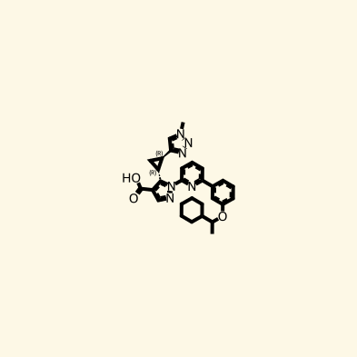 CC(Oc1cccc(-c2cccc(-n3ncc(C(=O)O)c3[C@@H]3C[C@H]3c3cn(C)nn3)n2)c1)C1CCCCC1